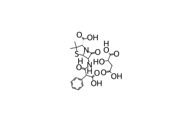 CC1(C)S[C@@H]2[C@H](NC(=O)C(C(=O)O)c3ccccc3)C(=O)N2[C@H]1C(=O)O.O=C(O)CC(O)C(=O)O